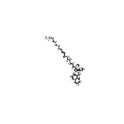 CCCCCCCCC=CCCCCCCCC(=O)OP(O)Oc1cccc2ccccc12